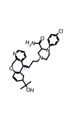 CC(C)(O)C1C=CC2=C(C1)/C(=C/CCN1CCN(c3ccc(Cl)cc3)C(C(N)=O)C1)c1cccnc1CO2